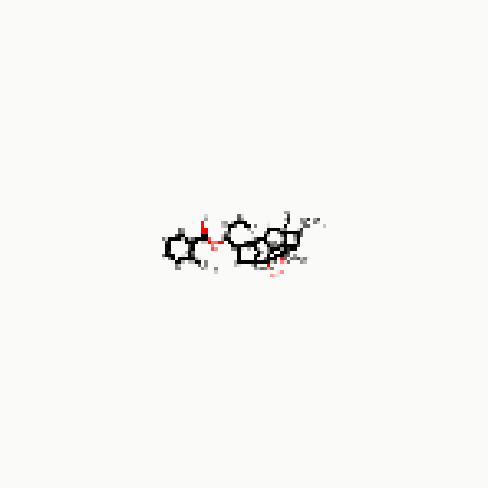 CO[C@H]1C2C3(OC)[C@@H]1CC1[C@]45CCC[C@H](OC(=O)c6ccccc6C)C4CC(C5)[C@]2(O)[C@]13O